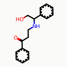 O=C(CCNC(CO)c1ccccc1)c1ccccc1